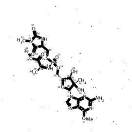 COc1nc(N)nc2c1ncn2[C@@H]1O[C@H](CO[P@](=O)(N[C@@H](C)C(=O)OC(C)C)SCC2NC(=O)N(C)C2=O)[C@@H](O)[C@@]1(C)O